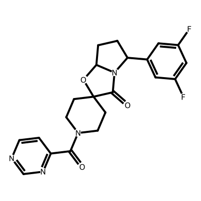 O=C(c1ccncn1)N1CCC2(CC1)OC1CCC(c3cc(F)cc(F)c3)N1C2=O